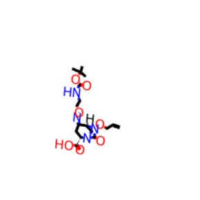 C=CCON1C(=O)N2C[C@H]1/C(=N\OCCNC(=O)OC(C)(C)C)C[C@H]2C(=O)O